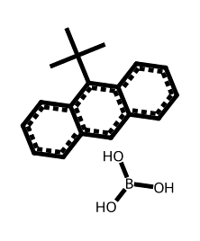 CC(C)(C)c1c2ccccc2cc2ccccc12.OB(O)O